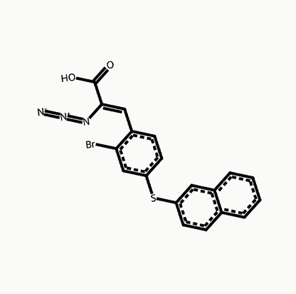 [N-]=[N+]=N/C(=C\c1ccc(Sc2ccc3ccccc3c2)cc1Br)C(=O)O